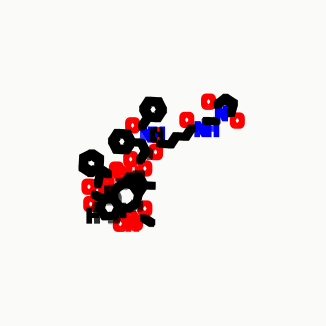 CC(=O)O[C@H]1C(=O)[C@@]2(C)[C@H]([C@H](OC(=O)c3ccccc3)[C@]3(O)C[C@H](OC(=O)[C@H](OC(=O)CCCC(=O)NCCN4C(=O)C=CC4=O)C(NC(=O)c4ccccc4)c4ccccc4)C(C)=C1C3(C)C)[C@]1(OC(C)=O)CO[C@@H]1C[C@@H]2O